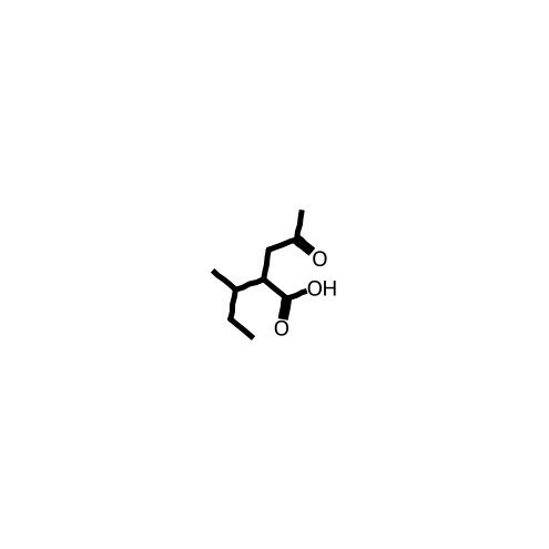 CCC(C)C(CC(C)=O)C(=O)O